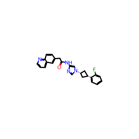 O=C(Cc1ccc2ncccc2c1)Nc1cn([C@H]2C[C@@H](c3ccccc3F)C2)cn1